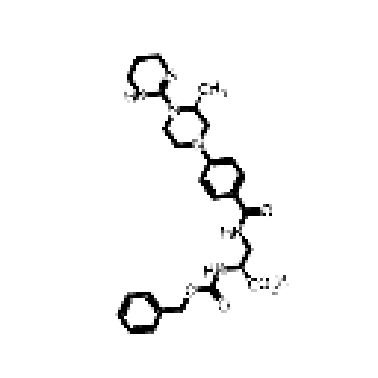 C[C@H]1CN(c2ccc(C(=O)NC[C@H](NC(=O)OCc3ccccc3)C(=O)O)cc2)CCN1C1=NCCCN1